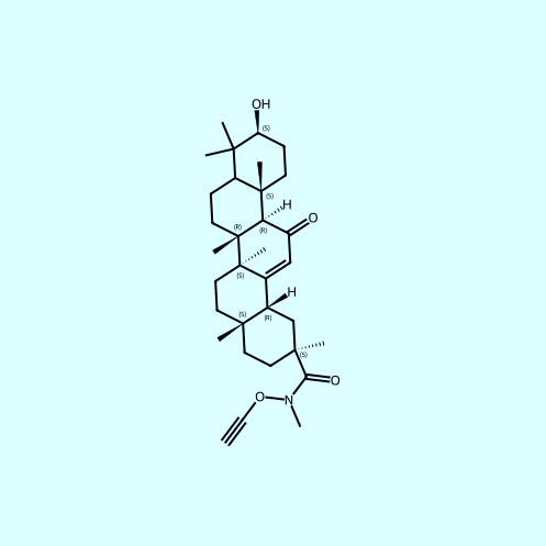 C#CON(C)C(=O)[C@@]1(C)CC[C@]2(C)CC[C@]3(C)C(=CC(=O)[C@@H]4[C@@]5(C)CC[C@H](O)C(C)(C)C5CC[C@]43C)[C@@H]2C1